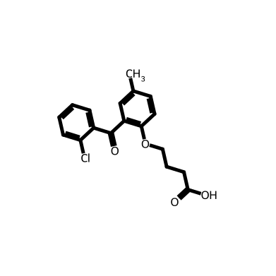 Cc1ccc(OCCCC(=O)O)c(C(=O)c2ccccc2Cl)c1